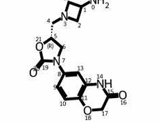 NC1CN(C[C@@H]2CN(c3ccc4c(c3)NC(=O)CO4)C(=O)O2)C1